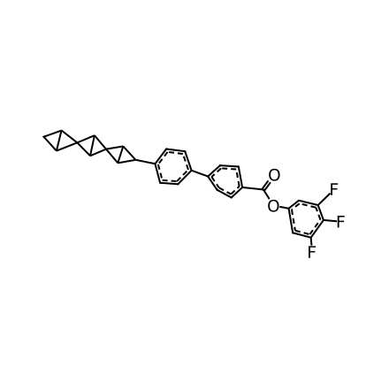 O=C(Oc1cc(F)c(F)c(F)c1)c1ccc(-c2ccc(C3C4C3C43C4C3C43C4CC43)cc2)cc1